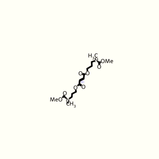 COC(=O)N(C)CCCOC(=O)/C=C/C(=O)OCCCN(C)C(=O)OC